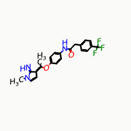 C/C(Oc1ccc(NC(=O)Cc2ccc(C(F)(F)F)cc2)cc1)=C1/C=CN(C)C1=N